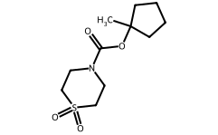 CC1(OC(=O)N2CCS(=O)(=O)CC2)CCCC1